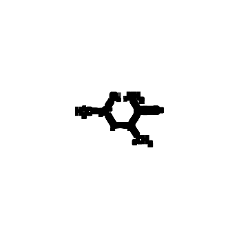 C[C](C[S+](C)[O-])C(N)=O